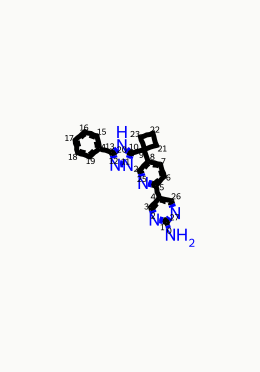 Nc1ncc(-c2ccc(C3(c4nnc(-c5ccccc5)[nH]4)CCC3)cn2)cn1